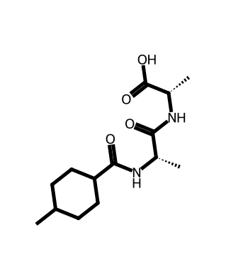 CC1CCC(C(=O)N[C@@H](C)C(=O)N[C@@H](C)C(=O)O)CC1